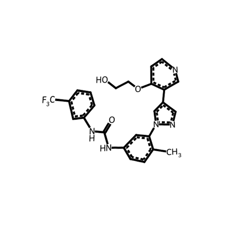 Cc1ccc(NC(=O)Nc2cccc(C(F)(F)F)c2)cc1-n1cc(-c2cnccc2OCCO)cn1